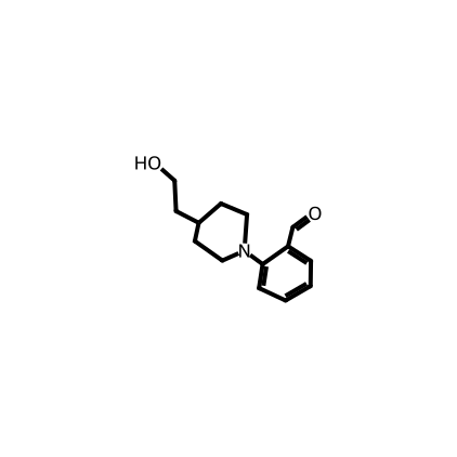 O=Cc1ccccc1N1CCC(CCO)CC1